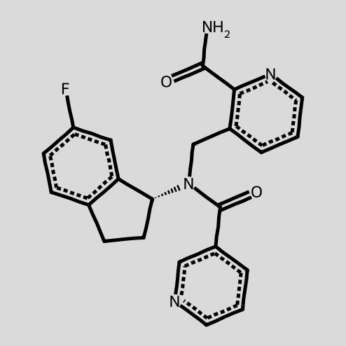 NC(=O)c1ncccc1CN(C(=O)c1cccnc1)[C@@H]1CCc2ccc(F)cc21